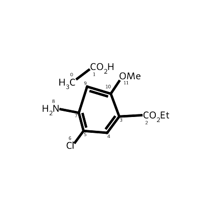 CC(=O)O.CCOC(=O)c1cc(Cl)c(N)cc1OC